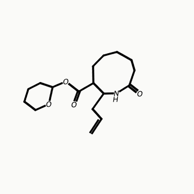 C=CCC1NC(=O)CCCCCC1C(=O)OC1CCCCO1